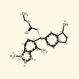 CCOC(=O)C[C@H](c1ccc2c(c1)C(O)CC2)c1ccc2c(nnn2C)c1C